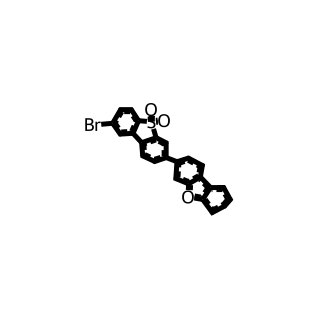 O=S1(=O)c2ccc(Br)cc2-c2ccc(-c3ccc4c(c3)oc3ccccc34)cc21